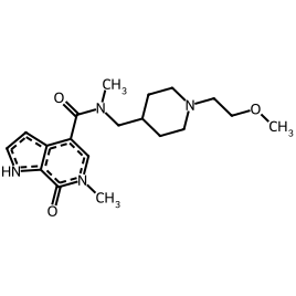 COCCN1CCC(CN(C)C(=O)c2cn(C)c(=O)c3[nH]ccc23)CC1